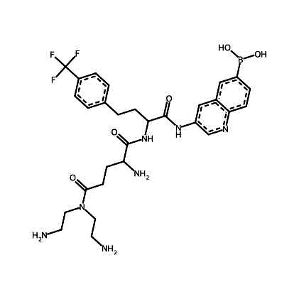 NCCN(CCN)C(=O)CCC(N)C(=O)NC(CCc1ccc(C(F)(F)F)cc1)C(=O)Nc1cnc2ccc(B(O)O)cc2c1